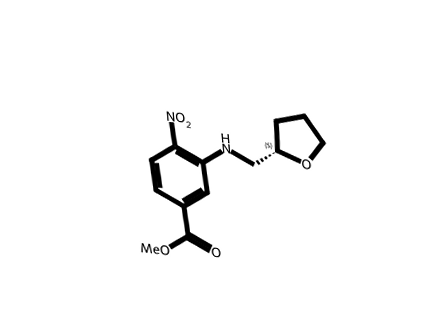 COC(=O)c1ccc([N+](=O)[O-])c(NC[C@@H]2CCCO2)c1